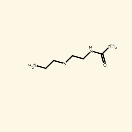 NCCSCCNC(N)=O